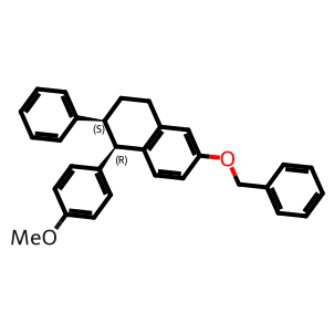 COc1ccc([C@@H]2c3ccc(OCc4ccccc4)cc3CC[C@@H]2c2ccccc2)cc1